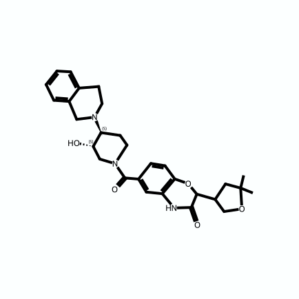 CC1(C)CC(C2Oc3ccc(C(=O)N4CC[C@H](N5CCc6ccccc6C5)[C@@H](O)C4)cc3NC2=O)CO1